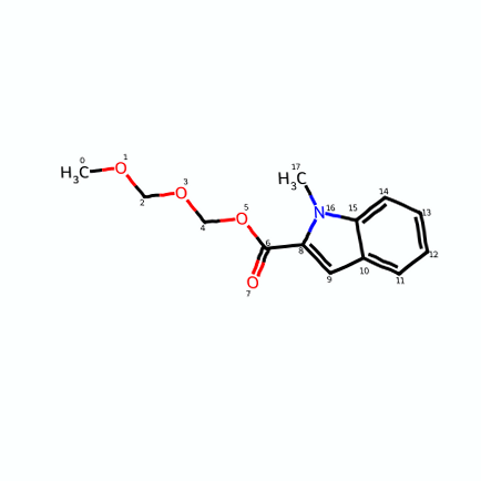 COCOCOC(=O)c1cc2ccccc2n1C